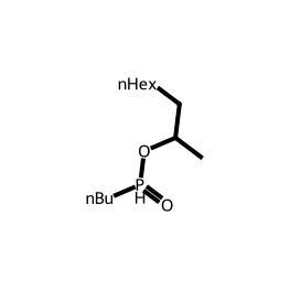 CCCCCCCC(C)O[PH](=O)CCCC